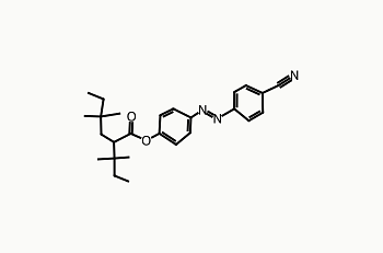 CCC(C)(C)CC(C(=O)Oc1ccc(/N=N/c2ccc(C#N)cc2)cc1)C(C)(C)CC